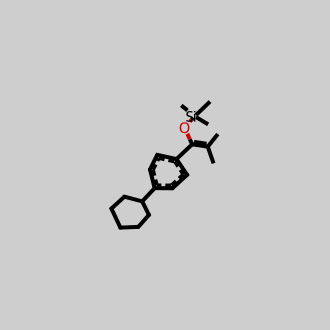 CC(C)=C(O[Si](C)(C)C)c1ccc(C2CCCCC2)cc1